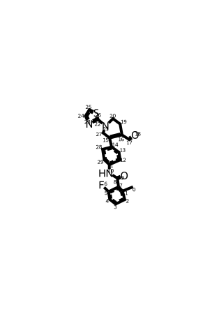 Cc1cccc(F)c1C(=O)Nc1ccc(C2=C(C=O)CCN(c3nccs3)C2)cc1